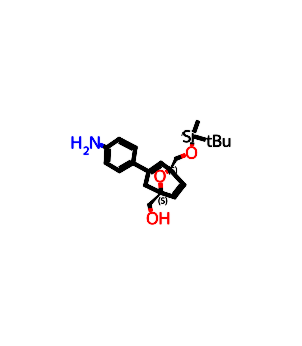 CC(C)(C)[Si](C)(C)OC[C@]12C=C[C@](CO)(CC(c3ccc(N)cc3)=C1)O2